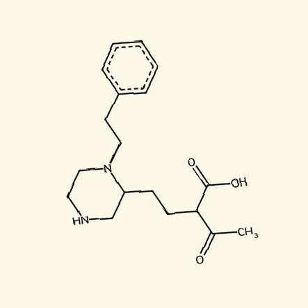 CC(=O)C(CCC1CNCCN1CCc1ccccc1)C(=O)O